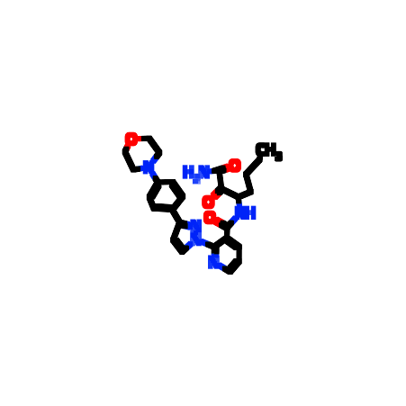 CCCCC(NC(=O)c1cccnc1-n1ccc(-c2ccc(N3CCOCC3)cc2)n1)C(=O)C(N)=O